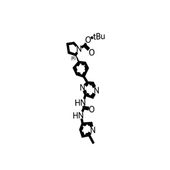 Cc1ccc(NC(=O)Nc2cncc(-c3ccc([C@H]4CCCN4C(=O)OC(C)(C)C)cc3)n2)cn1